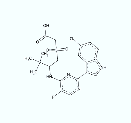 CC(C)(C)C(CS(=O)(=O)CC(=O)O)Nc1nc(-c2c[nH]c3ncc(Cl)cc23)ncc1F